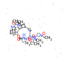 C=CC(=O)N1CC[C@H](C(=O)N(C)[C@H](C(=O)N[C@H]2Cc3csc(n3)-c3ccc4c(c3)c(c(-c3cccnc3[C@H](C)OC)n4CC)CC(C)(C)COC(=O)[C@@H]3CCCN(N3)C2=O)C(C)C)C1